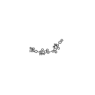 COc1ccc(C2=CN3C(=O)c4cc(OC)c(OCCCOc5cc6c(cc5OC)C(=O)N5C=C(c7ccc(NC(=O)CBr)cc7)C[C@H]5C=N6)cc4N=C[C@@H]3C2)cc1